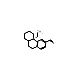 CC[C@@]12CCCCC1CCc1ccc(C=O)cc12